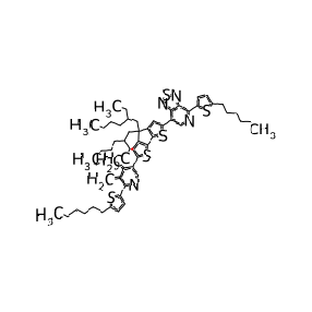 C=c1c(-c2cc3c(s2)-c2sc(-c4cnc(-c5ccc(CCCCCC)s5)c5nsnc45)cc2C3(CC(CC)CCCC)CC(CC)CCCC)cnc(-c2ccc(CCCCCC)s2)c1=C